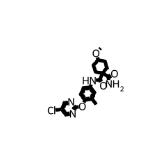 COC1CCC(C(N)=O)(C(=O)Nc2ccc(Oc3ncc(Cl)cn3)c(C)c2)CC1